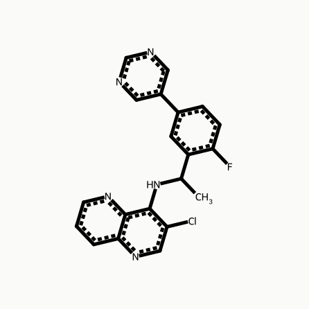 CC(Nc1c(Cl)cnc2cccnc12)c1cc(-c2cncnc2)ccc1F